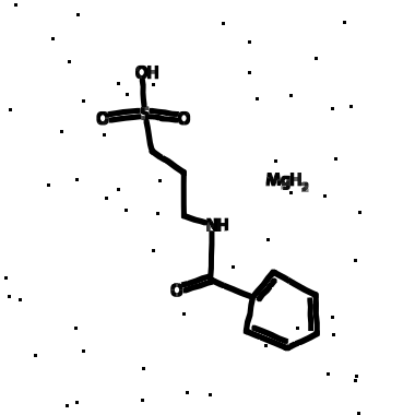 O=C(NCCCS(=O)(=O)O)c1ccccc1.[MgH2]